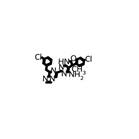 CC1(c2ccc(Cl)cc2)C(=O)Nc2nc(-c3cn4ccnc4c(Cc4cccc(Cl)c4)n3)nc(N)c21